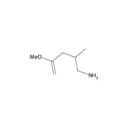 C=C(CC(C)CN)OC